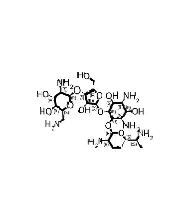 C[C@H](N)[C@@H]1CC[C@@H](N)[C@@H](O[C@@H]2[C@@H](N)[C@H](O)[C@@H](N)[C@H](O)[C@H]2O[C@@H]2O[C@H](CO)[C@@H](O[C@H]3O[C@@H](CN)[C@@H](O)[C@H](O)[C@H]3N)[C@H]2O)O1